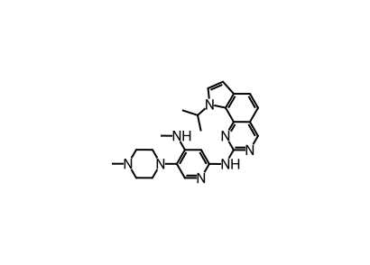 CNc1cc(Nc2ncc3ccc4ccn(C(C)C)c4c3n2)ncc1N1CCN(C)CC1